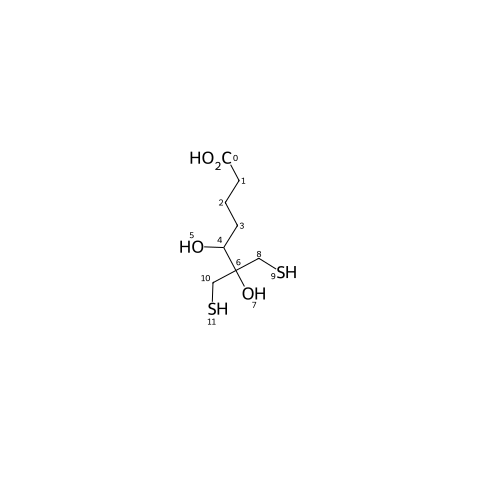 O=C(O)CCCC(O)C(O)(CS)CS